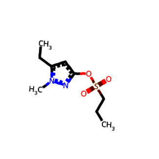 CCCS(=O)(=O)Oc1cc(CC)n(C)n1